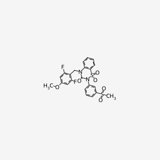 COc1cc(F)c(CN2C(=O)N(c3cccc(S(C)(=O)=O)c3)S(=O)(=O)c3ccccc32)c(F)c1